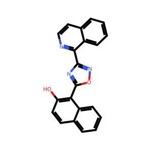 Oc1ccc2ccccc2c1-c1nc(-c2nccc3ccccc23)no1